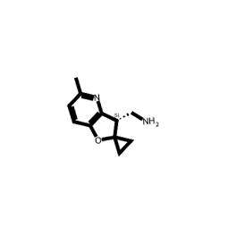 Cc1ccc2c(n1)[C@H](CN)C1(CC1)O2